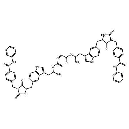 NC(Cc1c[nH]c2ccc(CC3NC(=O)N(Cc4ccc(C(=O)Nc5ccccc5)cc4)C3=O)cc12)OC(=O)/C=C\C(=O)OC(N)Cc1c[nH]c2ccc(CC3NC(=O)N(Cc4ccc(C(=O)Nc5ccccc5)cc4)C3=O)cc12